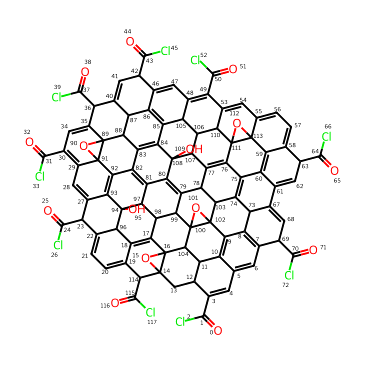 O=C(Cl)C1=Cc2cc3c4c5c2C2C1CC16OC17C1=C8C(=CC=C9C(C(=O)Cl)C%10=CC%11=C(C(=O)Cl)C=C%12C(C(=O)Cl)C%13=CC(C(=O)Cl)C%14=CC%15=C(C(=O)Cl)C%16=CC%17=CC=C%18C%19=C%20C(=CC%18C(=O)Cl)C(=CC3C(=O)Cl)C4C3=C%20C4=C%18C%20C%21=C%22C%23=C%24C%25=C%26C(=C%14C%13C%25C%12%13OC%11%13C%24=C%10C(O)(C98)C%23C1C%21C1(OC51C3%20)C27)C%15C(C%18C%26%22O)C%16C41OC%17%191)C6C(=O)Cl